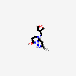 O=c1ccn(CC2CCOC2)c2cc(C(F)(F)F)nn12